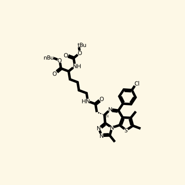 CCCCOC(=O)C(CCCCNC(=O)C[C@@H]1N=C(c2ccc(Cl)cc2)c2c(sc(C)c2C)-n2c(C)nnc21)NC(=O)OC(C)(C)C